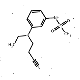 CCN(CCC#N)c1cccc(NS(C)(=O)=O)c1